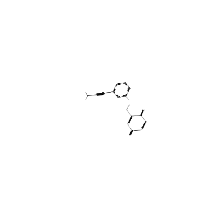 CC(O)C#Cc1cccc(OCC2=CC(=O)C=CC2=O)c1